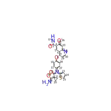 CNC(=O)c1cc2c(Oc3ccc(N(C(=O)C4(C(N)=O)CC4)c4cccs4)cc3)ccnc2cc1OC